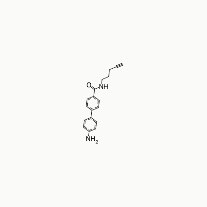 C#CCCCNC(=O)c1ccc(-c2ccc(N)cc2)cc1